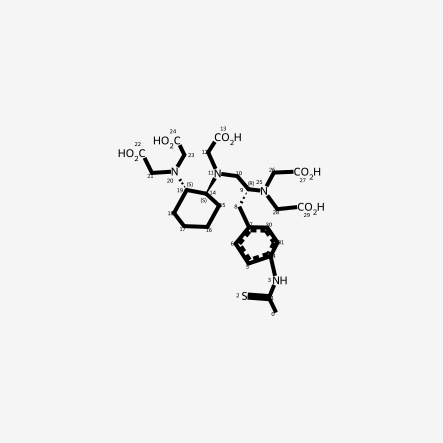 CC(=S)Nc1ccc(C[C@H](CN(CC(=O)O)[C@H]2CCCC[C@@H]2N(CC(=O)O)CC(=O)O)N(CC(=O)O)CC(=O)O)cc1